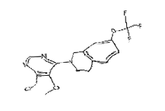 COc1c(Cl)ncnc1N1CCc2ccc(OC(F)(F)F)cc2C1